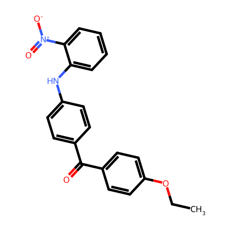 CCOc1ccc(C(=O)c2ccc(Nc3ccccc3[N+](=O)[O-])cc2)cc1